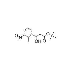 Cc1c(N=O)cccc1C(O)CC(=O)OC(C)(C)C